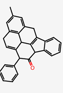 Cc1cc2c3c(c1)CC1=C4C(C(=O)C(c5ccccc5)C(=CC2)C43)c2ccccc21